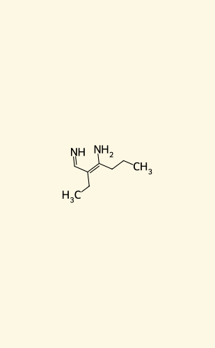 CCC/C(N)=C(/C=N)CC